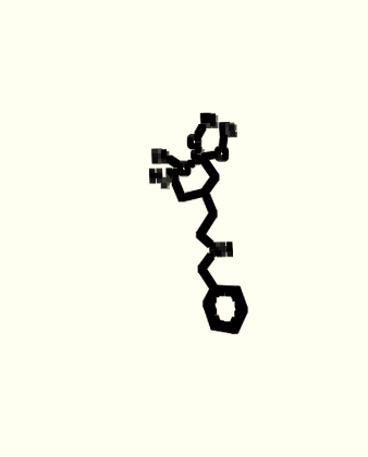 CCO[Si](CC(CN)CCNCc1ccccc1)(OCC)OCC